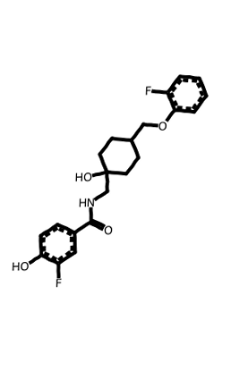 O=C(NCC1(O)CCC(COc2ccccc2F)CC1)c1ccc(O)c(F)c1